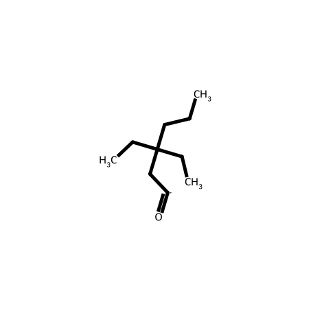 CCCC(CC)(CC)C[C]=O